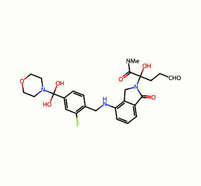 CNC(=O)C(O)(CCC=O)N1Cc2c(NCc3ccc(C(O)(O)N4CCOCC4)cc3F)cccc2C1=O